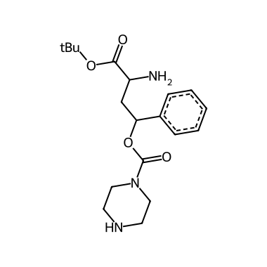 CC(C)(C)OC(=O)C(N)CC(OC(=O)N1CCNCC1)c1ccccc1